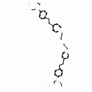 CCN(CC)c1ccc(CCc2cc[n+](CCOCC[n+]3ccc(CCc4ccc(N(CC)CC)cc4)cc3)cc2)cc1